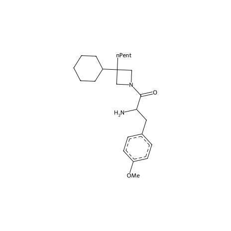 CCCCCC1(C2CCCCC2)CN(C(=O)C(N)Cc2ccc(OC)cc2)C1